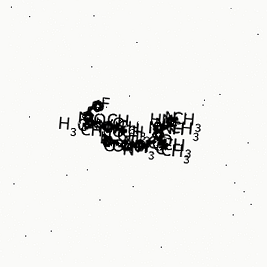 Cc1n[nH]c(Nc2ncnc3cc(OCCN4CCN(c5ncc(OCC6CN(C[C@H]7CN(C(=O)OC(C)(C)C)[C@H](C)CN7CC(=O)N7CC(C)(C)c8ncc(Cc9ccc(F)cc9)cc87)CCO6)cn5)CC4)c(S(=O)(=O)C(C)(C)C)cc23)c1C